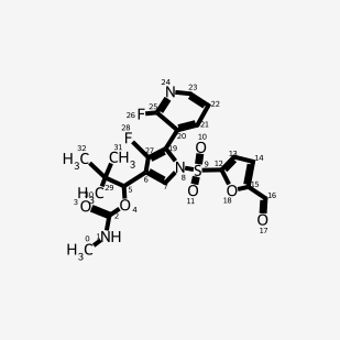 CNC(=O)OC(c1cn(S(=O)(=O)c2ccc(C=O)o2)c(-c2cccnc2F)c1F)C(C)(C)C